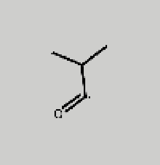 CC(C)[C]=O